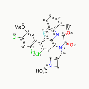 COc1cc(-c2c(Cl)cc3c(c2F)n(-c2c(C)cccc2C(C)C)c(=O)c(=O)n3CC2CN(C(=O)O)C2)c(Cl)cc1Cl